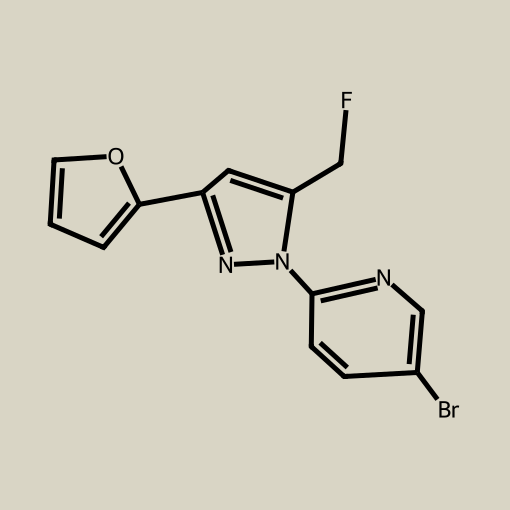 FCc1cc(-c2ccco2)nn1-c1ccc(Br)cn1